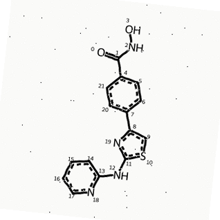 O=C(NO)c1ccc(-c2csc(Nc3ccccn3)n2)cc1